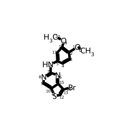 COc1ccc(Nc2ncc3scc(Br)c3n2)cc1OC